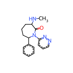 CNC1CCCC(c2ccccc2)N(c2cccnn2)C1=O